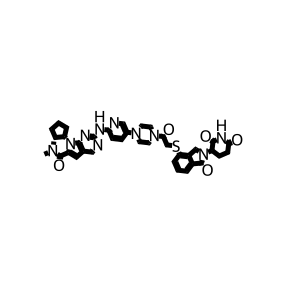 CN(C)C(=O)c1cc2cnc(Nc3ccc(N4CCN(C(=O)CSc5cccc6c5CN(C5CCC(=O)NC5=O)C6=O)CC4)cn3)nc2n1C1CCCC1